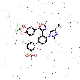 Cc1nc(-c2cc(-c3cc(F)cc(S(C)(=O)=O)c3)ccc2-n2cc(C(F)(F)F)nc2C)c(-c2ccc3c(c2)OC(F)(F)O3)o1